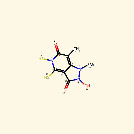 CSn1c2c(C)c(=O)n(S)c(S)c2c(=O)n1O